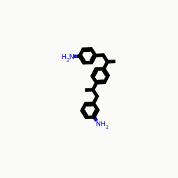 CC(Cc1ccc(N)cc1)c1ccc(C(C)Cc2cccc(N)c2)cc1